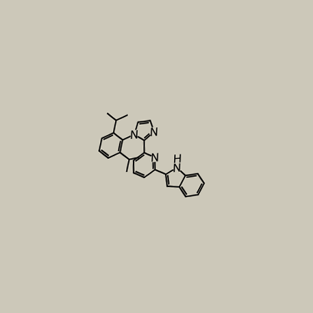 CC(C)c1cccc(C(C)C)c1-n1ccnc1-c1cccc(-c2cc3ccccc3[nH]2)n1